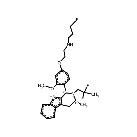 COc1cc(OCCNCCCF)ccc1[C@@H]1c2[nH]c3ccccc3c2C[C@@H](C)N1CC(C)(F)F